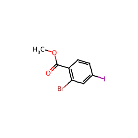 COC(=O)c1ccc(I)cc1Br